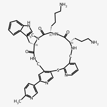 Cc1ccc(-c2cc3c(cn2)Sc2ncccc2CN[C@@H](CCCN)C(=O)N[C@@H](CCCCN)C(=O)N(C)[C@@H](Cc2c[nH]c4ccccc24)C(=O)NC3)cn1